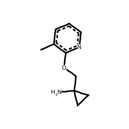 Cc1cccnc1OCC1(N)CC1